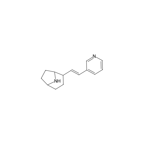 C(=CC1CCC2CCC1N2)c1cccnc1